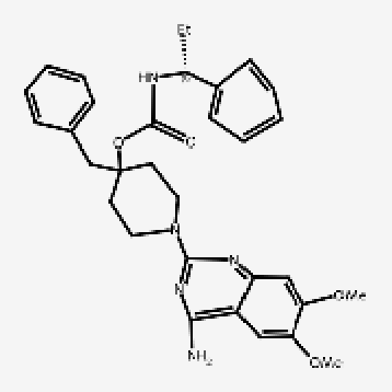 CC[C@@H](NC(=O)OC1(Cc2ccccc2)CCN(c2nc(N)c3cc(OC)c(OC)cc3n2)CC1)c1ccccc1